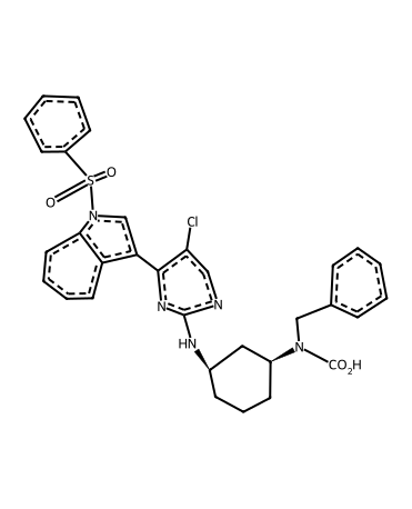 O=C(O)N(Cc1ccccc1)[C@H]1CCC[C@@H](Nc2ncc(Cl)c(-c3cn(S(=O)(=O)c4ccccc4)c4ccccc34)n2)C1